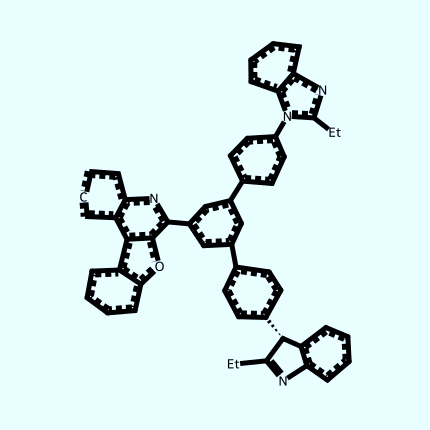 CCC1=Nc2ccccc2[C@H]1c1ccc(-c2cc(-c3ccc(-n4c(CC)nc5ccccc54)cc3)cc(-c3nc4ccccc4c4c3oc3ccccc34)c2)cc1